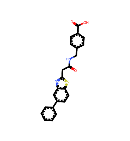 O=C(Cc1nc2cc(-c3ccccc3)ccc2s1)NCc1ccc(C(=O)O)cc1